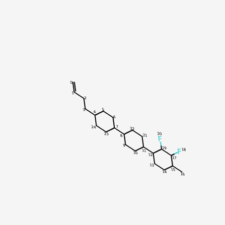 C=CCCC1CCC(C2CCC(C3CCC(C)C(F)C3F)CC2)CC1